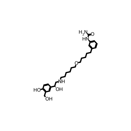 NC(=O)Nc1cccc(CCCCCOCCCCCCNC[C@H](O)c2ccc(O)c(CO)c2)c1